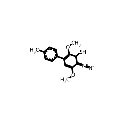 COC1=CC(c2ccc(C)cc2)=C(OC)C(S)C1=[N+]=[N-]